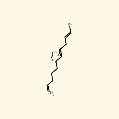 C=CCCCCC=CCC=CCC.CC(=O)O